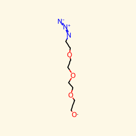 [N-]=[N+]=NCCOCCOCCOCC[O]